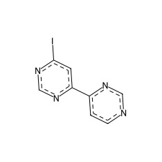 Ic1cc(-c2ccncn2)ncn1